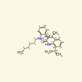 CCCCCCNc1ccccc1CC(=O)Nc1c(C(C)C)cccc1C(C)C